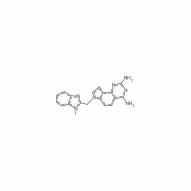 Cn1c(Cn2ccc3c4nc(N)nc(N)c4ccc32)nc2ccccc21